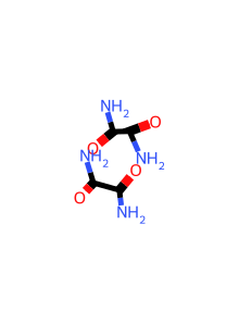 NC(=O)C(N)=O.NC(=O)C(N)=O